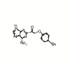 CC(C)c1ccc(OCC(=O)c2nc(N)c3nc[nH]c3n2)cc1